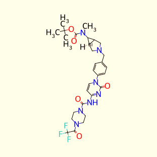 CN(C(=O)OC(C)(C)C)C1C2CN(Cc3ccc(-n4ccc(NC(=O)N5CCN(C(=O)C(F)(F)F)CC5)nc4=O)cc3)C[C@H]21